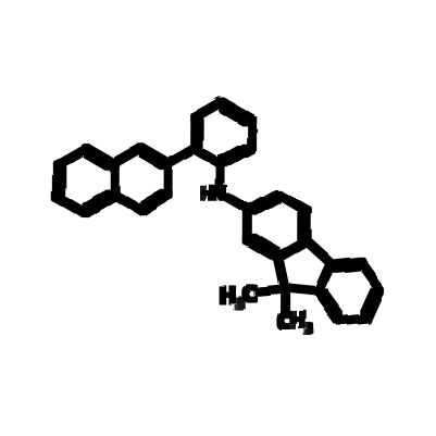 CC1(C)c2ccccc2-c2ccc(Nc3ccccc3-c3ccc4ccccc4c3)cc21